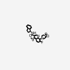 CN(C)c1c(C(=O)N[C@H]2CCc3ccccc32)cnc2c(N3CCS(=O)(=O)CC3)c(F)ccc12